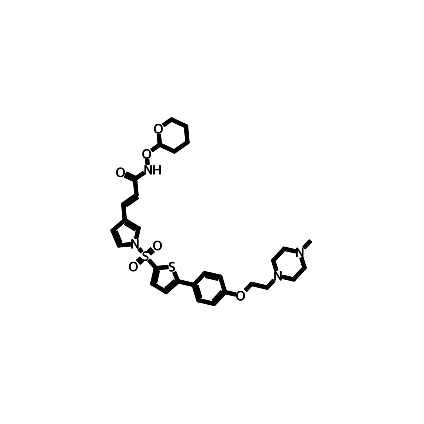 CN1CCN(CCOc2ccc(-c3ccc(S(=O)(=O)n4ccc(C=CC(=O)NOC5CCCCO5)c4)s3)cc2)CC1